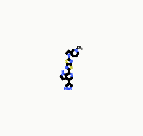 CN1CCCC2(CCN2c2nc3sc(-c4ncc(-c5cn[nH]c5)c5cc[nH]c45)nc3s2)C1